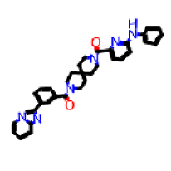 O=C(c1cccc(-c2cn3ccccc3n2)c1)N1CCC2(CC1)CCN(C(=O)c1cccc(Nc3ccccc3)n1)CC2